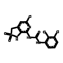 O=C(Nc1cccc(Cl)c1Cl)Nc1nc(Cl)cc2c1NS(=O)(=O)C2